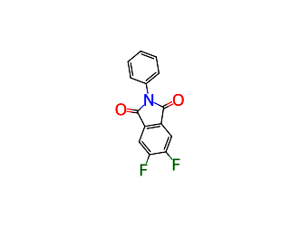 O=C1c2cc(F)c(F)cc2C(=O)N1c1ccccc1